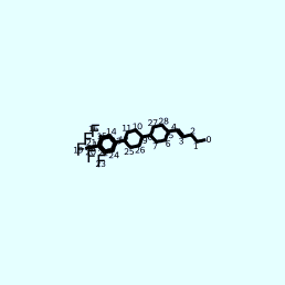 CCC/C=C/C1CCC(C2CCC(c3cc(F)c(C(F)(F)F)c(F)c3)CC2)CC1